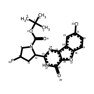 CC(C)(C)OC(=O)N1CC(F)CC1c1nc2c(oc3ccc(Cl)cc32)c(=O)[nH]1